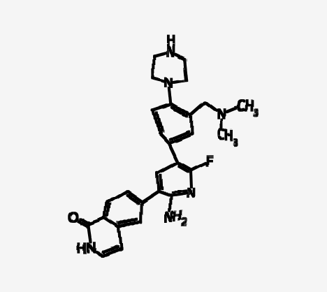 CN(C)Cc1cc(-c2cc(-c3ccc4c(=O)[nH]ccc4c3)c(N)nc2F)ccc1N1CCNCC1